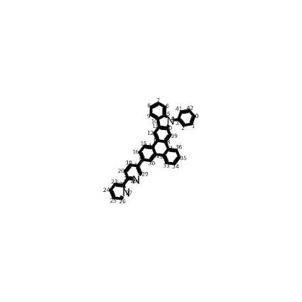 c1ccc(-n2c3ccccc3c3cc4c5ccc(-c6ccc(-c7ccccn7)nc6)cc5c5ccccc5c4cc32)cc1